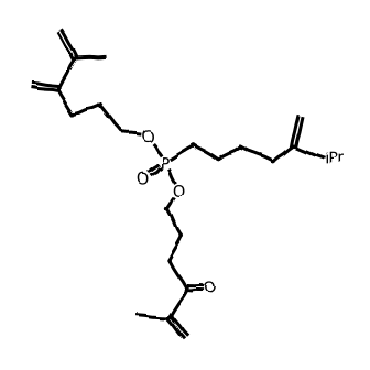 C=C(C)C(=C)CCCOP(=O)(CCCCC(=C)C(C)C)OCCCC(=O)C(=C)C